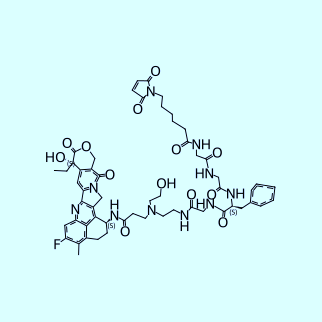 CC[C@@]1(O)C(=O)OCc2c1cc1n(c2=O)Cc2c-1nc1cc(F)c(C)c3c1c2[C@@H](NC(=O)CCN(CCO)CCNC(=O)CNC(=O)[C@H](Cc1ccccc1)NC(=O)CNC(=O)CNC(=O)CCCCCN1C(=O)C=CC1=O)CC3